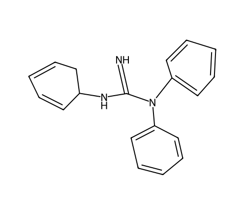 N=C(NC1C=CC=CC1)N(c1ccccc1)c1ccccc1